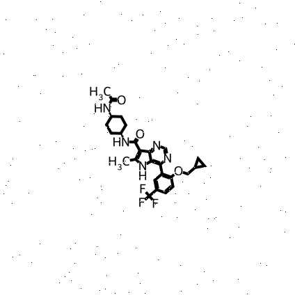 CC(=O)N[C@H]1CC[C@@H](NC(=O)c2c(C)[nH]c3c(-c4cc(C(F)(F)F)ccc4OCC4CC4)ncnc23)CC1